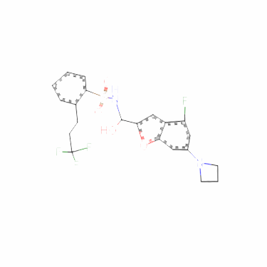 O=S(=O)(NC(O)c1cc2c(F)cc(N3CCC3)cc2o1)c1ccccc1CCC(F)(F)F